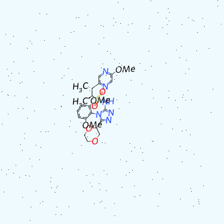 COc1cnc([C@@H](C)[C@H](C)S(=O)(=O)Nc2nnc([C@H]3COCCO3)n2-c2c(OC)cccc2OC)cn1